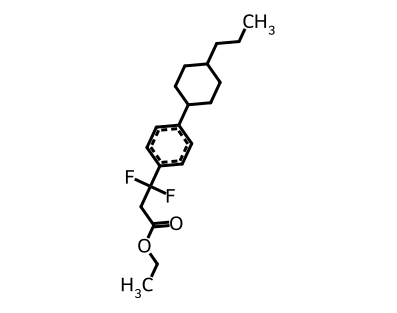 CCCC1CCC(c2ccc(C(F)(F)CC(=O)OCC)cc2)CC1